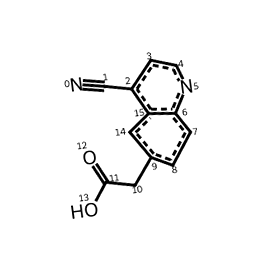 N#Cc1ccnc2ccc(CC(=O)O)cc12